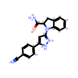 N#Cc1ccc(-c2cc(N3c4ccccc4CC3C(N)=O)n[nH]2)cc1